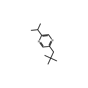 CC(C)c1cnc(CC(C)(C)C)cn1